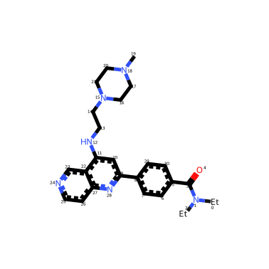 CCN(CC)C(=O)c1ccc(-c2cc(NCCN3CCN(C)CC3)c3cnccc3n2)cc1